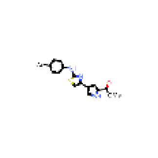 COC(=O)c1cc(-c2csc(Nc3ccc(C(C)=O)cc3)n2)c[nH]1